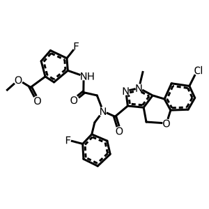 COC(=O)c1ccc(F)c(NC(=O)CN(Cc2ccccc2F)C(=O)c2nn(C)c3c2COc2ccc(Cl)cc2-3)c1